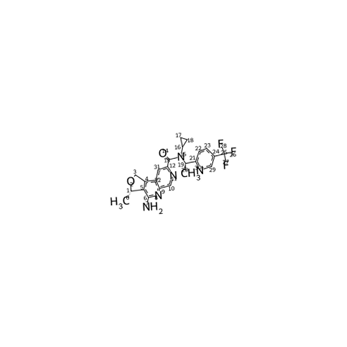 C[C@@H]1OCc2c1c(N)nc1cnc(C(=O)N(C3CC3)[C@H](C)c3ccc(C(F)(F)F)cn3)cc21